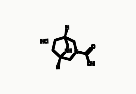 Cl.O=C(O)N1C[C@H]2CC[C@@H](C1)NC2